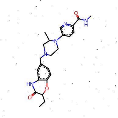 CCC1Oc2ccc(CN3CCN(c4ccc(C(=O)NC)nc4)C(C)C3)cc2NC1=O